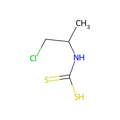 CC(CCl)NC(=S)S